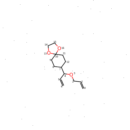 C=CCOC(C=C)C1CCC2(CC1)OCCO2